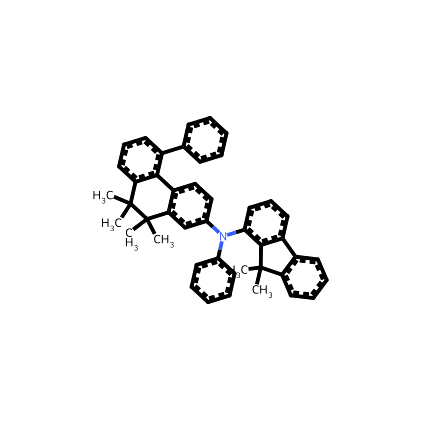 CC1(C)c2ccccc2-c2cccc(N(c3ccccc3)c3ccc4c(c3)C(C)(C)C(C)(C)c3cccc(-c5ccccc5)c3-4)c21